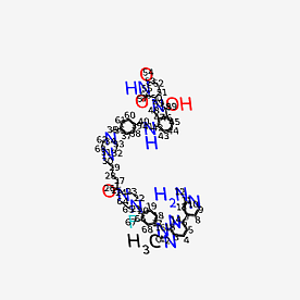 Cc1nc2ccc(-c3ccnc(N)c3)nc2n1-c1ccc(N2CCN(C(=O)CCCCN3CCN(Cc4ccc(CNc5cccc6c5CN(C5CCC(=O)NC5=O)C6O)cc4)CC3)CC2)c(F)c1